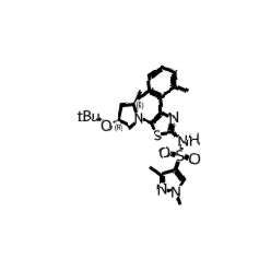 Cc1cccc(C)c1-c1nc(NS(=O)(=O)c2cn(C)nc2C)sc1N1C[C@H](OC(C)(C)C)C[C@H]1C